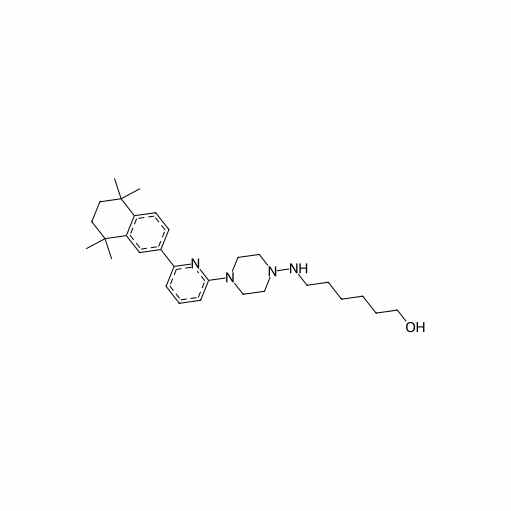 CC1(C)CCC(C)(C)c2cc(-c3cccc(N4CCN(NCCCCCCO)CC4)n3)ccc21